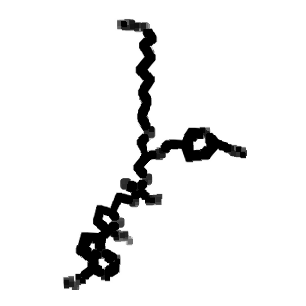 CCCCCCCCCCCCCCCCCCOC[C@H](COP(=O)(O)OC[C@@H]1CC[C@](C)(c2ccc3c(N)ncnn23)O1)OCc1ccc(C#N)nc1